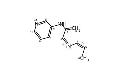 C=C(/C=N\C=C/C)Nc1cccnc1